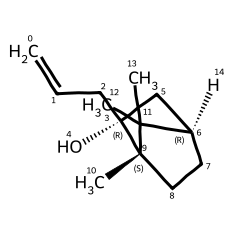 C=CC[C@@]1(O)C[C@H]2CC[C@@]1(C)C2(C)C